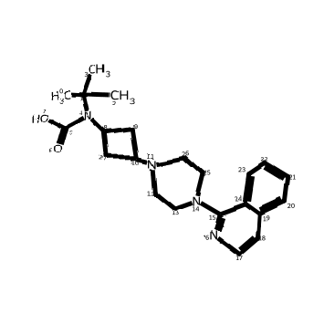 CC(C)(C)N(C(=O)O)C1CC(N2CCN(c3nccc4ccccc34)CC2)C1